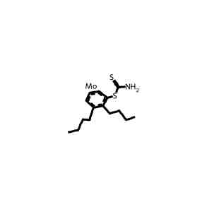 CCCCc1cccc(SC(N)=S)c1CCCC.[Mo]